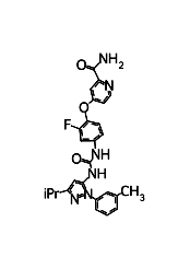 Cc1cccc(-n2nc(C(C)C)cc2NC(=O)Nc2ccc(Oc3ccnc(C(N)=O)c3)c(F)c2)c1